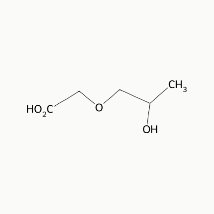 CC(O)COCC(=O)O